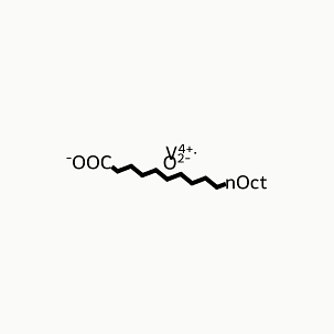 CCCCCCCCCCCCCCCCCC(=O)[O-].[O-2].[V+4]